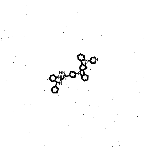 N=C(/N=c1/nc(-c2ccccc2)c2ccccc2[nH]1)c1ccc(-n2c3ccccc3c3cc4c(cc32)c2ccccc2n4-c2ccncc2)cc1